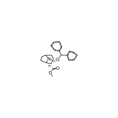 COC(=O)[C@@H]1C2CCC(C[C@@H]1OC(c1ccccc1)c1ccccc1)N2C